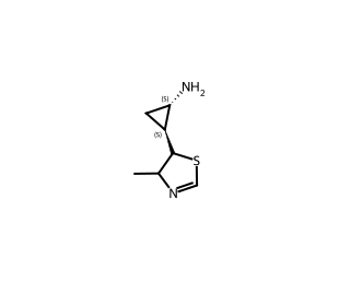 CC1N=CSC1[C@H]1C[C@@H]1N